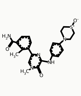 Cc1c(C(N)=O)cccc1-c1cn(C)c(=O)c(Nc2ccc(N3CC[S+]([O-])CC3)cc2)n1